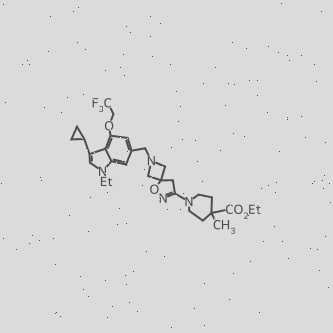 CCOC(=O)C1(C)CCN(C2=NOC3(C2)CN(Cc2cc(OCC(F)(F)F)c4c(C5CC5)cn(CC)c4c2)C3)CC1